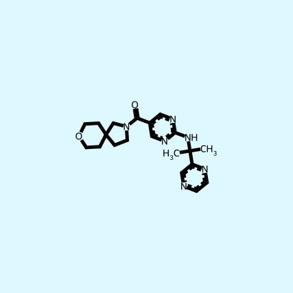 CC(C)(Nc1ncc(C(=O)N2CCC3(CCOCC3)C2)cn1)c1cnccn1